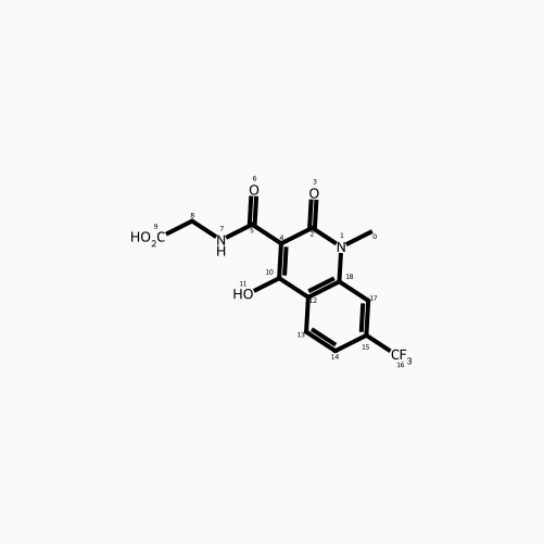 Cn1c(=O)c(C(=O)NCC(=O)O)c(O)c2ccc(C(F)(F)F)cc21